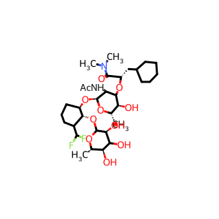 CC(=O)NC1C(O[C@@H](CC2CCCCC2)C(=O)N(C)C)[C@@H](O)[C@H](C)O[C@H]1O[C@@H]1CCCC(C(F)F)[C@H]1OC1O[C@@H](C)[C@H](O)C(O)[C@@H]1O